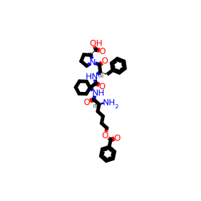 N[C@@H](CCCCOC(=O)c1ccccc1)C(=O)NC1(C(=O)N[C@@H](Cc2ccccc2)C(=O)N2CCC[C@@H]2C(=O)O)CCCCC1